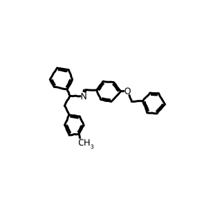 Cc1ccc(CC(/N=C/c2ccc(OCc3ccccc3)cc2)c2ccccc2)cc1